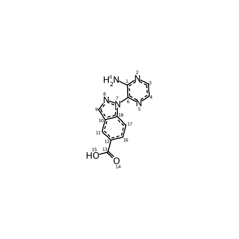 Nc1nccnc1-n1ncc2cc(C(=O)O)ccc21